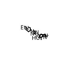 CCN1CCC(n2cc3nc(-c4cc5cn(C)nc5c(C)c4O)sc3n2)CC1